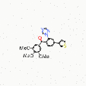 COc1cc(C(=O)c2ccc(-c3ccsc3)cc2-n2cncn2)cc(OC)c1OC